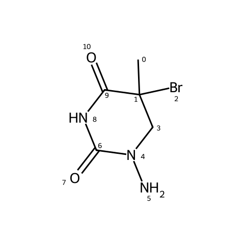 CC1(Br)CN(N)C(=O)NC1=O